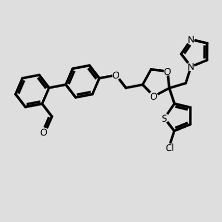 O=Cc1ccccc1-c1ccc(OCC2COC(Cn3ccnc3)(c3ccc(Cl)s3)O2)cc1